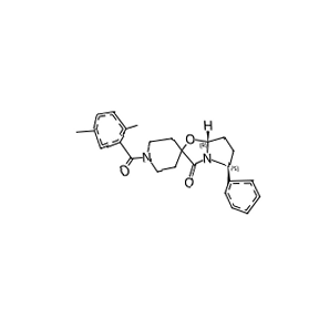 Cc1ccc(C)c(C(=O)N2CCC3(CC2)O[C@@H]2CC[C@@H](c4ccccc4)N2C3=O)c1